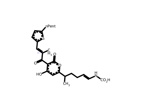 CCCCCc1ccc(/C=C(\C)C(=O)c2c(O)cc(C(C)CCC=CNC(=O)O)oc2=O)s1